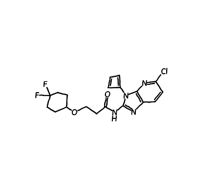 O=C(CCOC1CCC(F)(F)CC1)Nc1nc2ccc(Cl)nc2n1C1=CC=C1